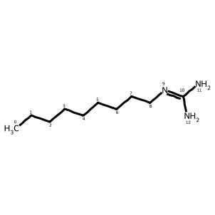 CCCCCCCCCN=C(N)N